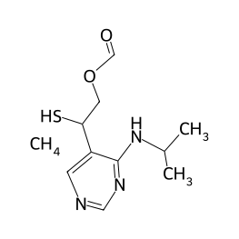 C.CC(C)Nc1ncncc1C(S)COC=O